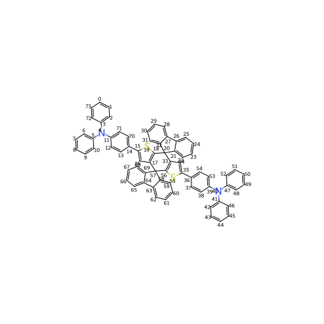 c1ccc(N(c2ccccc2)c2ccc(-c3cc4c(s3)C3(c5ccccc5-c5ccccc53)c3cc(-c5ccc(N(c6ccccc6)c6ccccc6)cc5)sc3C43c4ccccc4-c4ccccc43)cc2)cc1